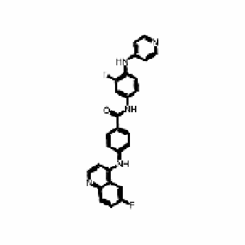 O=C(Nc1ccc(Nc2ccncc2)c(F)c1)c1ccc(Nc2ccnc3ccc(F)cc23)cc1